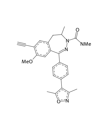 C#Cc1cc2c(cc1OC)C(c1ccc(-c3c(C)noc3C)cc1)=NN(C(=O)NC)C(C)C2